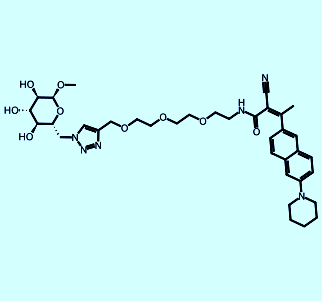 CO[C@H]1O[C@H](Cn2cc(COCCOCCOCCNC(=O)C(C#N)=C(C)c3ccc4cc(N5CCCCC5)ccc4c3)nn2)[C@@H](O)[C@H](O)[C@H]1O